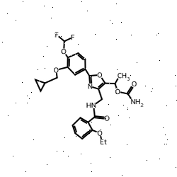 CCOc1ccccc1C(=O)NCc1nc(-c2ccc(OC(F)F)c(OCC3CC3)c2)oc1C(C)OC(N)=O